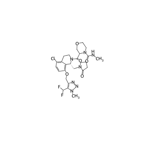 CNC(=O)N1CCOCC1C(=O)N1CCc2c(Cl)ccc(OCc3nnn(C)c3C(F)F)c2[C@H]1CN1CCCC1=O